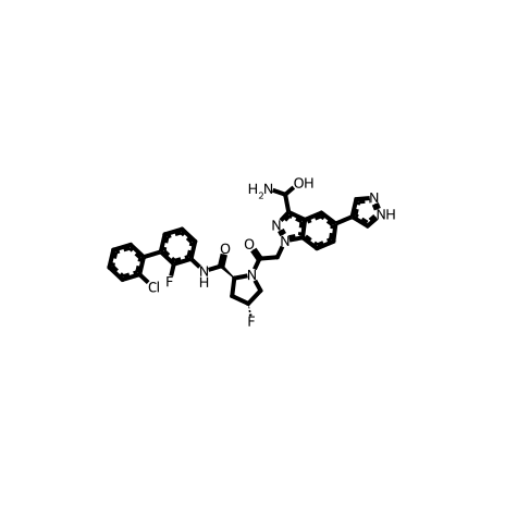 NC(O)c1nn(CC(=O)N2C[C@H](F)C[C@H]2C(=O)Nc2cccc(-c3ccccc3Cl)c2F)c2ccc(-c3cn[nH]c3)cc12